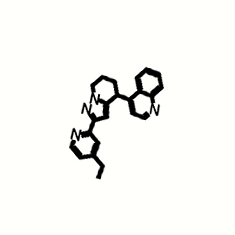 CCc1ccnc(-c2cc3n(n2)CCCC3c2ccnc3ccccc23)c1